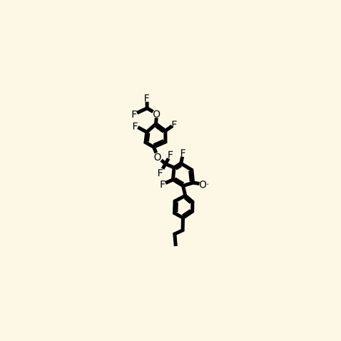 CCCc1ccc(-c2c([O])cc(F)c(C(F)(F)Oc3cc(F)c(OC(F)F)c(F)c3)c2F)cc1